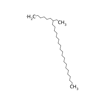 [CH2]CCCCCC(CC)CCCCCCCCCCCCCCCCCCCCC